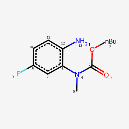 CCCCOC(=O)N(C)c1cc(F)ccc1N